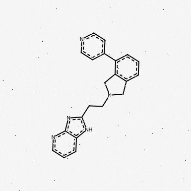 c1cc2c(c(-c3ccncc3)c1)CN(CCc1nc3ncccc3[nH]1)C2